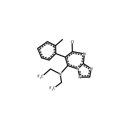 Cc1ccccc1-c1c(Cl)nc2ncnn2c1N(CC(F)(F)F)CC(F)(F)F